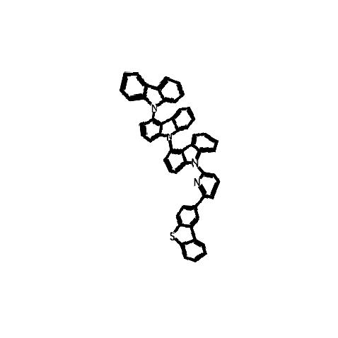 c1cc(-c2ccc3sc4ccccc4c3c2)nc(-n2c3ccccc3c3c(-n4c5ccccc5c5c(-n6c7ccccc7c7ccccc76)cccc54)cccc32)c1